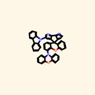 c1ccc2c(c1)Oc1ccccc1N2c1cccc2c1Oc1ccccc1C21c2cccnc2-c2ncc(-n3c4ccccc4c4ccccc43)cc21